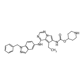 CCc1c(NC(=O)OC2CCNCC2)cn2ncnc(Nc3ccc4c(cnn4Cc4ccccc4)c3)c12